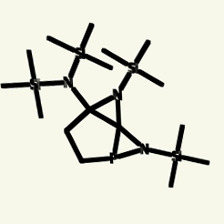 C[Si](C)(C)N1P2CCC3(N([Si](C)(C)C)[Si](C)(C)C)N([Si](C)(C)C)C123